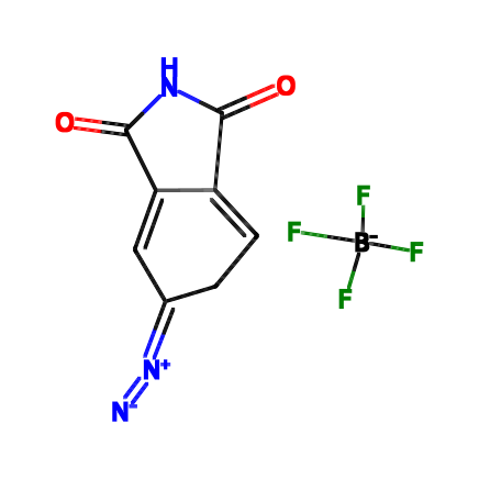 F[B-](F)(F)F.[N-]=[N+]=C1C=C2C(=O)NC(=O)C2=CC1